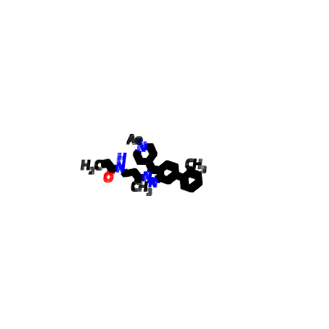 C=CC(=O)NCCC(C)n1nc2cc(-c3ccccc3C)ccc2c1C1CCN(C(C)=O)CC1